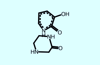 O=C1CNCCN1.O=c1[nH]cccc1O